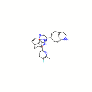 Cc1nc(-c2n[nH]cc2C2=C\C=C\c3cc(/C4=C/CC5=CC(=C=C4)NCC5)cnc3/C=C\2)ccc1F